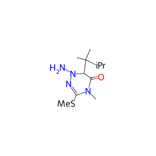 CSC1=NN(N)C(C(C)(C)C(C)C)C(=O)N1C